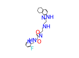 O=C(NCc1ncccc1F)c1coc(CCNCCc2nc3c4c(ccc3[nH]2)CCCC4)n1